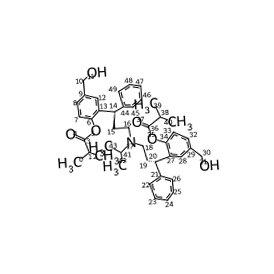 CC(C)C(=O)Oc1ccc(CO)cc1[C@H](CCN(CC[C@@H](c1ccccc1)c1cc(CO)ccc1OC(=O)C(C)C)C(C)C)c1ccccc1